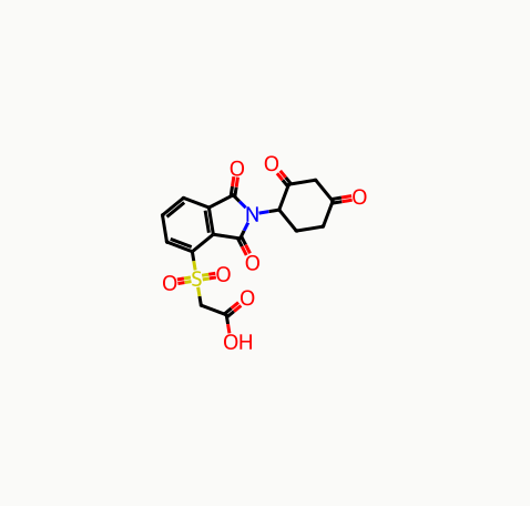 O=C(O)CS(=O)(=O)c1cccc2c1C(=O)N(C1CCC(=O)CC1=O)C2=O